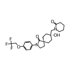 O=C1CCCCN1C[C@]1(O)CC[C@]2(CCN(c3ccc(OCC(F)(F)F)cc3)C2=O)CC1